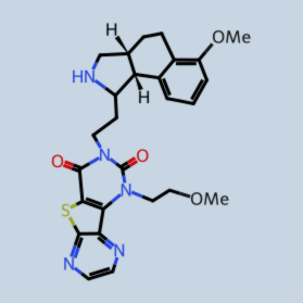 COCCn1c(=O)n(CCC2NC[C@@H]3CCc4c(OC)cccc4[C@H]23)c(=O)c2sc3nccnc3c21